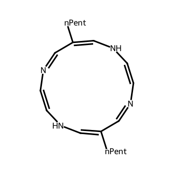 CCCCCC1=CNC=CN=CC(CCCCC)=CNC=CN=C1